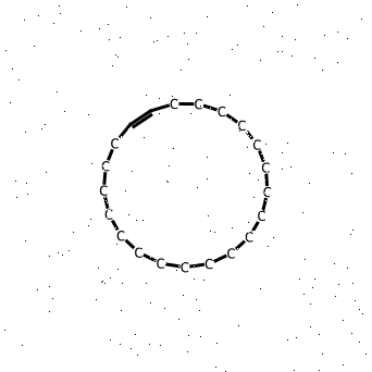 C1=CCCCCCCCCCCCCCCCCCCC1